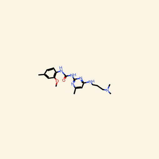 COc1cc(C)ccc1NC(=O)Nc1nc(C)cc(NCCCN(C)C)n1